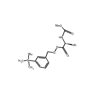 CCC[C@H](NC(=O)OC)C(=O)OOCc1cccc([Si](C)(C)C(C)(C)C)c1